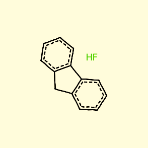 F.c1ccc2c(c1)Cc1ccccc1-2